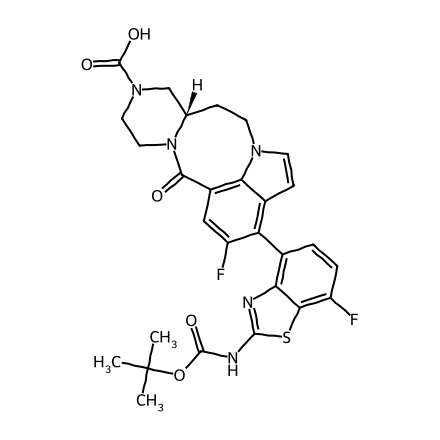 CC(C)(C)OC(=O)Nc1nc2c(-c3c(F)cc4c5c3ccn5CC[C@H]3CN(C(=O)O)CCN3C4=O)ccc(F)c2s1